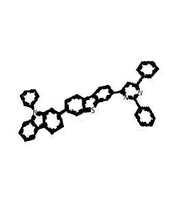 c1ccc(-c2cc(-c3ccc4c(c3)sc3cc(-c5ccc6c7ccccc7n(-c7ccccc7)c6c5)ccc34)nc(-c3ccccc3)n2)cc1